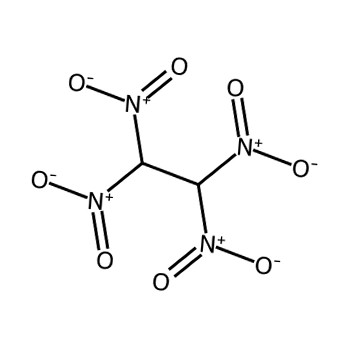 O=[N+]([O-])C(C([N+](=O)[O-])[N+](=O)[O-])[N+](=O)[O-]